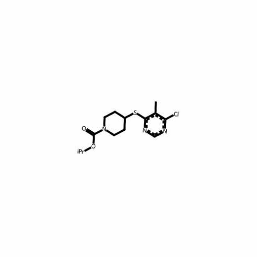 Cc1c(Cl)ncnc1SC1CCN(C(=O)OC(C)C)CC1